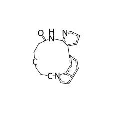 O=C1CCCCCCn2ccc3ccc(cc32)-c2cccnc2N1